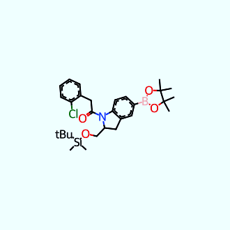 CC1(C)OB(c2ccc3c(c2)CC(CO[Si](C)(C)C(C)(C)C)N3C(=O)Cc2ccccc2Cl)OC1(C)C